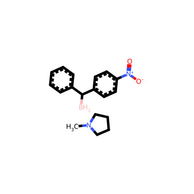 BC(c1ccccc1)c1ccc([N+](=O)[O-])cc1.CN1CCCC1